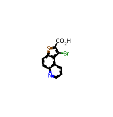 O=C(O)c1sc2ccc3ncccc3c2c1Br